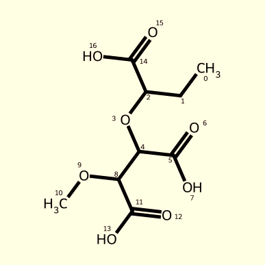 CCC(OC(C(=O)O)C(OC)C(=O)O)C(=O)O